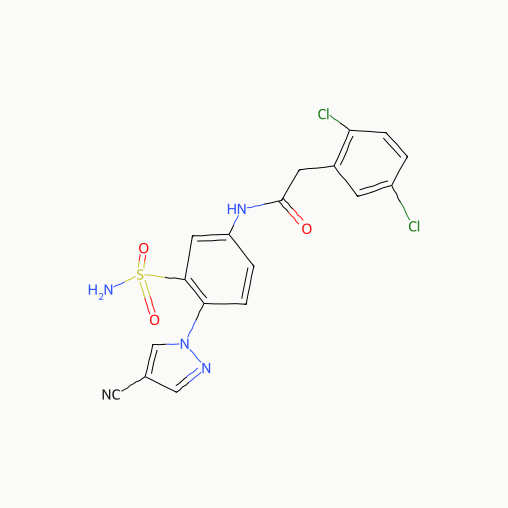 N#Cc1cnn(-c2ccc(NC(=O)Cc3cc(Cl)ccc3Cl)cc2S(N)(=O)=O)c1